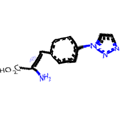 N/C(=C\c1ccc(-n2ccnn2)cc1)C(=O)O